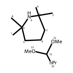 CC1(C)CCCC(C)(C)N1.CCCC(OC)OC